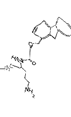 NCCCC(NC(=O)OCc1cccc2c1Cc1ccccc1-2)C(=O)O